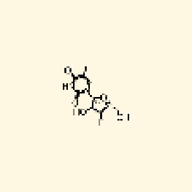 Cc1cn([C@@H]2O[C@H](CO)C(F)C2O)c(=O)[nH]c1=O